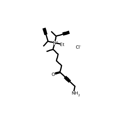 C#CC(C)[N+](CC)(C(C)C#C)C(C)CCCC(=O)C#CCN.[Cl-]